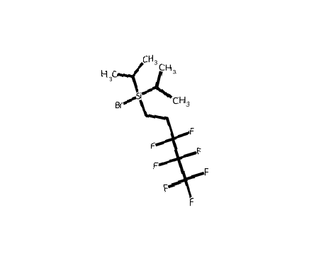 CC(C)[Si](Br)(CCC(F)(F)C(F)(F)C(F)(F)F)C(C)C